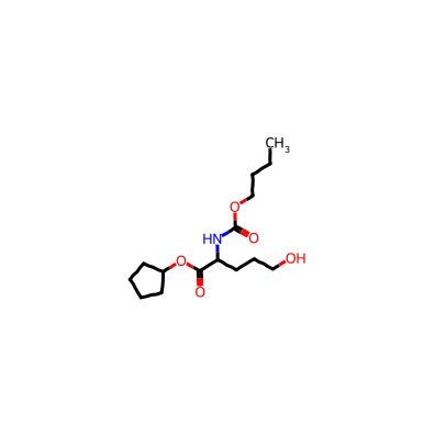 CCCCOC(=O)NC(CCCO)C(=O)OC1CCCC1